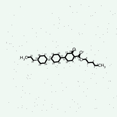 CCCCCOC(=O)C1CCC(C2CCC([C@H]3CC[C@H](CCC)CC3)CC2)CC1=O